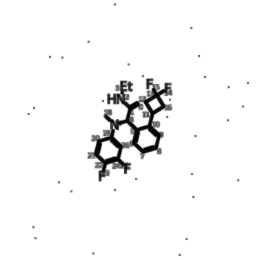 C=C(NCC)C(c1ccccc1C1CC(F)(F)C1)N(C)c1ccc(F)c(F)c1